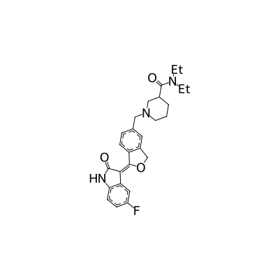 CCN(CC)C(=O)C1CCCN(Cc2ccc3c(c2)COC3=C2C(=O)Nc3ccc(F)cc32)C1